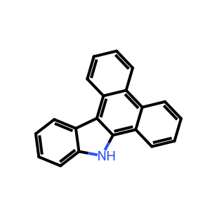 c1ccc2c(c1)[nH]c1c3ccccc3c3ccccc3c21